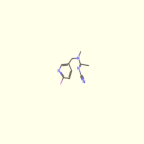 CC(=NC#N)N(C)Cc1ccc(I)nc1